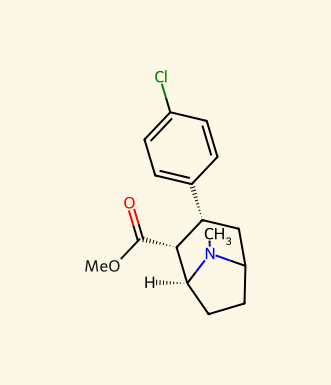 COC(=O)[C@@H]1[C@H](c2ccc(Cl)cc2)CC2CC[C@@H]1N2C